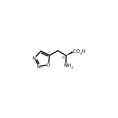 N[C@@H](Cc1cnno1)C(=O)O